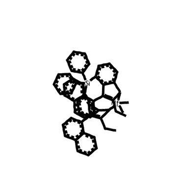 CCC1=C(c2cccc3ccccc23)c2c3cccc2[Si](c2ccccc2)(c2ccccc2)c2cccc4c2C(c2cccc5ccccc25)=C(CC)[CH]4[Hf]([CH3])([CH3])[CH]13